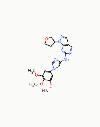 COc1cc(-n2cnc(Nc3ncc4cnn(C5CCOC5)c4n3)c2)cc(OC)c1OC